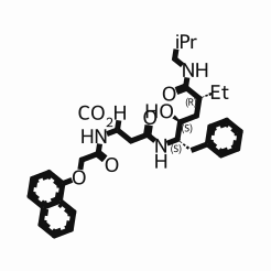 CC[C@H](C[C@H](O)[C@H](Cc1ccccc1)NC(=O)CC(NC(=O)COc1cccc2ccccc12)C(=O)O)C(=O)NCC(C)C